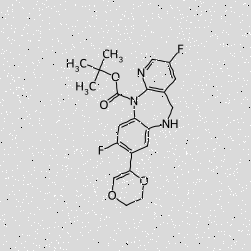 CC(C)(C)OC(=O)N1c2cc(F)c(C3=COCCO3)cc2NCc2cc(F)cnc21